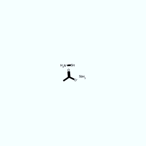 CC(=O)[O-].[NH3+]S.[SbH3]